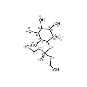 O=P(OCO)(OCO)OC1[C@@H](O)C(O)C(O)[C@@H](O)[C@H]1O